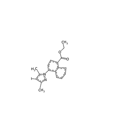 CCOC(=O)c1ccc(-n2nc(C)c(I)c2C)c2ccccc12